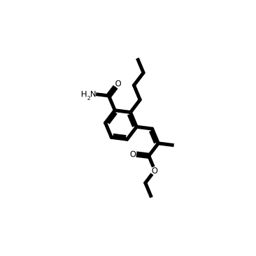 CCCCc1c(C=C(C)C(=O)OCC)cccc1C(N)=O